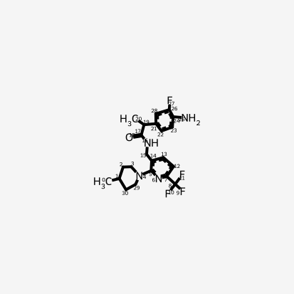 CC1CCN(c2nc(C(F)(F)F)ccc2CNC(=O)C(C)c2ccc(N)c(F)c2)CC1